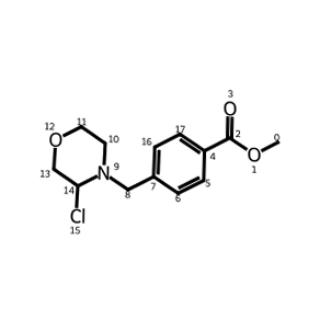 COC(=O)c1ccc(CN2CCOCC2Cl)cc1